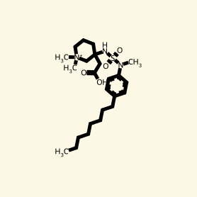 CCCCCCCCc1ccc(N(C)S(=O)(=O)NC2(CC(=O)O)CCC[N+](C)(C)C2)cc1